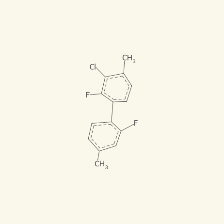 Cc1ccc(-c2ccc(C)c(Cl)c2F)c(F)c1